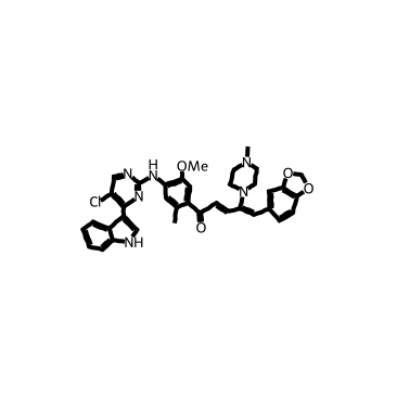 COc1cc(C(=O)C=CC(=Cc2ccc3c(c2)OCO3)N2CCN(C)CC2)c(C)cc1Nc1ncc(Cl)c(-c2c[nH]c3ccccc23)n1